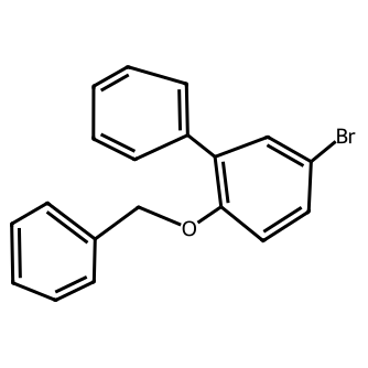 Brc1ccc(OCc2ccccc2)c(-c2ccccc2)c1